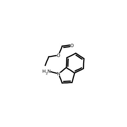 CCOC=O.Nn1ccc2ccccc21